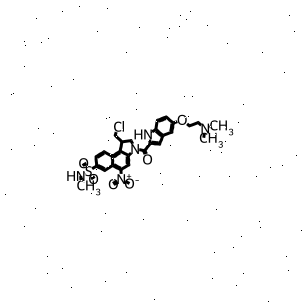 CNS(=O)(=O)c1ccc2c3c(cc([N+](=O)[O-])c2c1)N(C(=O)c1cc2cc(OCCN(C)C)ccc2[nH]1)CC3CCl